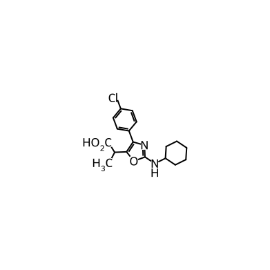 CC(C(=O)O)c1oc(NC2CCCCC2)nc1-c1ccc(Cl)cc1